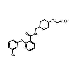 N#Cc1cccc(Oc2ncccc2C(=O)NCC2CCC(OCC(=O)O)CC2)c1